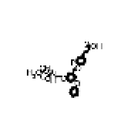 CC(C)(C)OC(=O)NCCOc1cc(COc2ccc(CCC(=O)O)cc2F)cc(Oc2ccccc2)c1